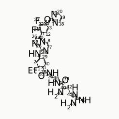 CCc1cc(Nc2nccn3c(-c4ccc(Oc5ncccn5)c(F)c4F)cnc23)ccc1C(=O)NCCNC(=O)C(N)CCNC(=N)N